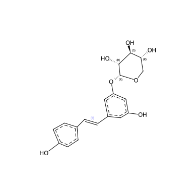 Oc1ccc(/C=C/c2cc(O)cc(O[C@H]3OC[C@@H](O)[C@H](O)[C@H]3O)c2)cc1